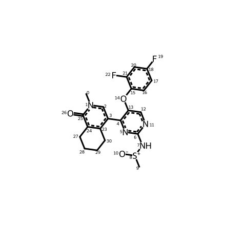 Cn1cc(-c2nc(N[S+](C)[O-])ncc2Oc2ccc(F)cc2F)c2c(c1=O)CCCC2